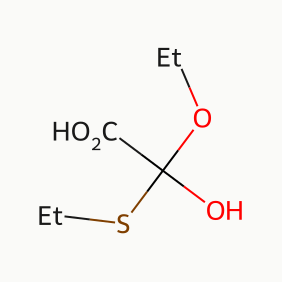 CCOC(O)(SCC)C(=O)O